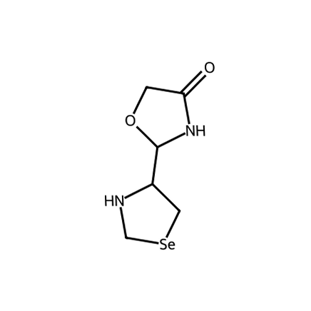 O=C1COC(C2C[Se]CN2)N1